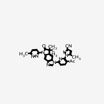 CC(=O)c1ccc(-n2cnc3cc4c(cc32)C(C)(C)C(=O)N4c2ccc(C)nn2)nc1-n1nc(C#N)cc1C